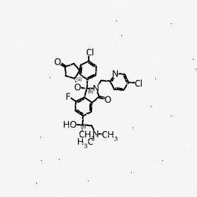 CN(C)C[C@@](C)(O)c1cc(F)c2c(c1)C(=O)N(Cc1ccc(Cl)cn1)[C@@]2(O[C@H]1CCC(=O)C1)c1ccc(Cl)cc1